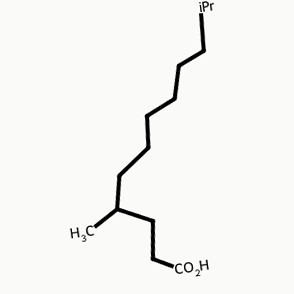 CC(C)CCCCCCC(C)CCC(=O)O